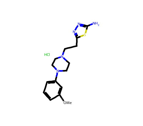 COc1cccc(N2CCN(CCc3nnc(N)s3)CC2)c1.Cl